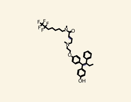 CC/C(=C(\c1ccc(O)cc1)c1ccc(OCCN(C)C/C=C/C(=O)N(C)CCCCCC(F)(F)C(F)(F)F)cc1)c1ccccc1